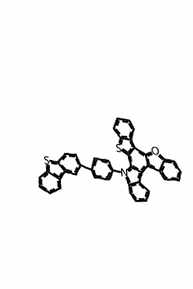 c1ccc2c(c1)oc1c3c4ccccc4sc3c3c(c4ccccc4n3-c3ccc(-c4ccc5sc6ccccc6c5c4)cc3)c21